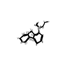 CCCN(CC)c1cccc2c1[CH]c1ccccc1-2